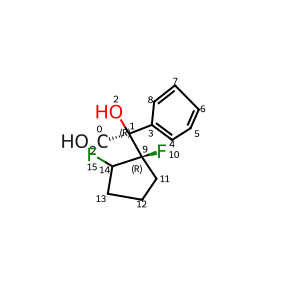 O=C(O)[C@](O)(c1ccccc1)[C@]1(F)CCCC1F